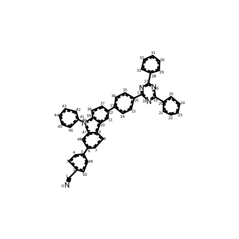 N#Cc1ccc(-c2ccc3c4cc(-c5ccc(-c6nc(-c7ccccc7)nc(-c7ccccc7)n6)cc5)ccc4n(-c4ccccc4)c3c2)cc1